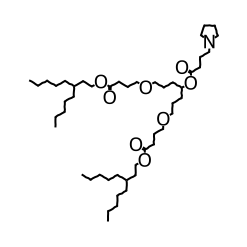 CCCCCC(CCCCC)CCOC(=O)CCCOCCCC(CCCOCCCC(=O)OCCC(CCCCC)CCCCC)OC(=O)CCCN1CCCC1